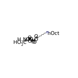 CCCCCCCC/C=C\CCCCCCCC(=O)OC[C@H]1OCCC[C@H]1OP(=O)(O)OC[C@H](N)C(=O)O